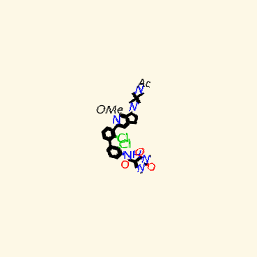 COc1nc(-c2cccc(-c3cccc(NC(=O)c4cn(C)c(=O)n(C)c4=O)c3Cl)c2Cl)cc2c1[C@H](N1CC3(CN(C(C)=O)C3)C1)CC2